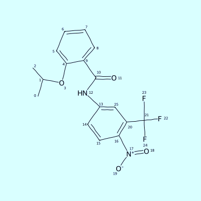 CC(C)Oc1ccccc1C(=O)Nc1ccc([N+](=O)[O-])c(C(F)(F)F)c1